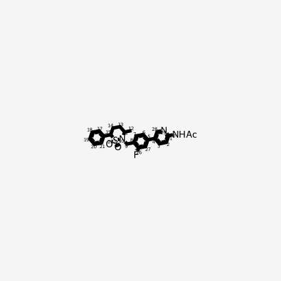 CC(=O)Nc1ccc(-c2ccc(CN3C(C)CCC(c4ccccc4)S3(=O)=O)c(F)c2)cn1